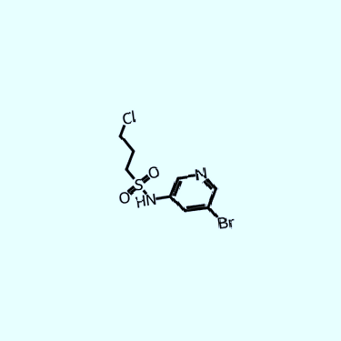 O=S(=O)(CCCCl)Nc1cncc(Br)c1